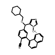 Cn1cncc1C(OCC1CCCCC1)c1ccc(C#N)c(-c2cccc3ccccc23)c1